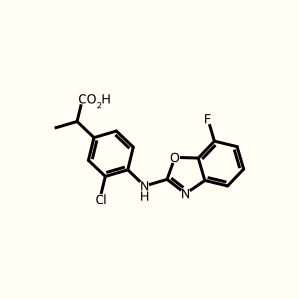 CC(C(=O)O)c1ccc(Nc2nc3cccc(F)c3o2)c(Cl)c1